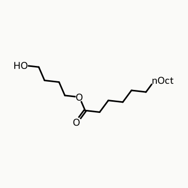 CCCCCCCCCCCCCC(=O)OCCCCO